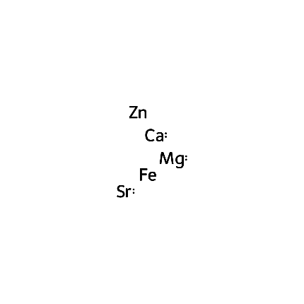 [Ca].[Fe].[Mg].[Sr].[Zn]